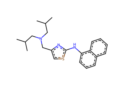 CC(C)CN(Cc1csc(Nc2cccc3ccccc23)n1)CC(C)C